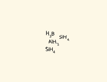 B.[AlH3].[SiH4].[SiH4]